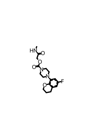 CNC(=O)COC(=O)N1CCN(c2cc(F)cc3c2OCCC3)CC1